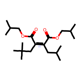 CC(C)COC(=O)/C(CC(C)C)=C(/CC(C)(C)C)C(=O)OCC(C)C